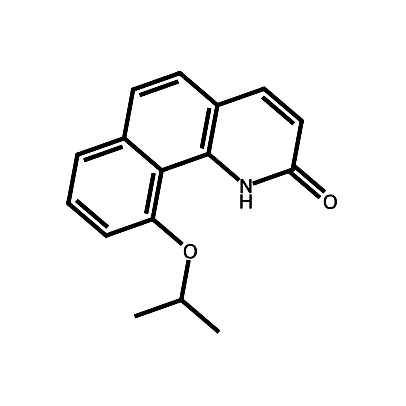 CC(C)Oc1cccc2ccc3ccc(=O)[nH]c3c12